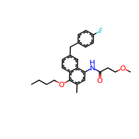 CCCCOc1c(C)cc(NC(=O)CCOC)c2cc(Cc3ccc(F)cc3)ccc12